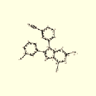 N#Cc1cccc(-n2c(-c3cccc(F)c3)nc3c(Cl)nc(N)nc32)c1